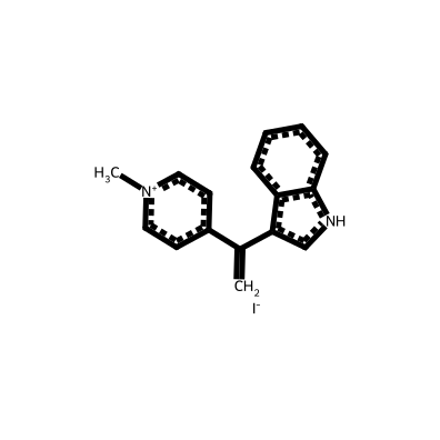 C=C(c1cc[n+](C)cc1)c1c[nH]c2ccccc12.[I-]